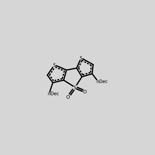 CCCCCCCCCCc1csc2c1S(=O)(=O)c1c(CCCCCCCCCC)csc1-2